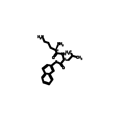 CC(C)C[C@@H](NC(=O)[C@H](N)CCCN)C(=O)Sc1ccc2ccccc2c1